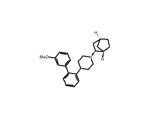 COc1cccc(-c2ccccc2C2CCN([C@H]3C[C@H]4CC[C@H]3C4)CC2)c1